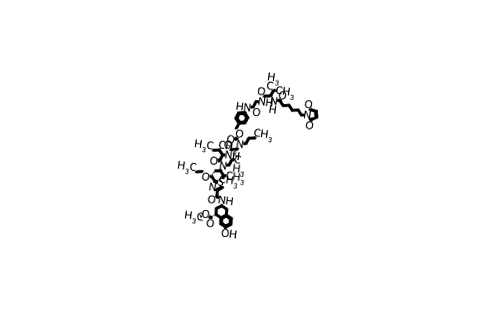 CCCCN(CC(=O)NC(C(=O)N(CCC)C(C[C@@H](OCCC)c1nc(C(=O)N[C@H]2Cc3ccc(O)cc3[C@H](C(=O)OC)C2)cs1)C(C)C)[C@@H](C)CC)C(=O)OCc1ccc(NC(=O)CNC(=O)C(NC(=O)CCCCCN2C(=O)C=CC2=O)C(C)C)cc1